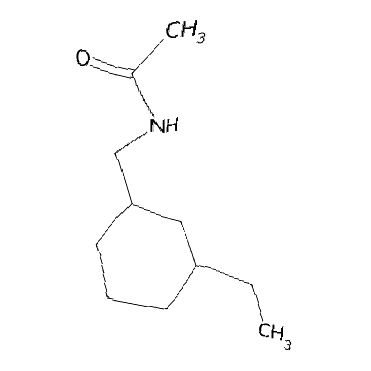 CCC1CCCC(CNC(C)=O)C1